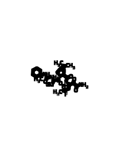 CC(F)(F)CC(NC(=O)C1C2C(CN1C(=O)C(NC(=O)NC1(C)CCCCC1)C(C)(C)C)C2(C)C)C(=O)C(N)=O